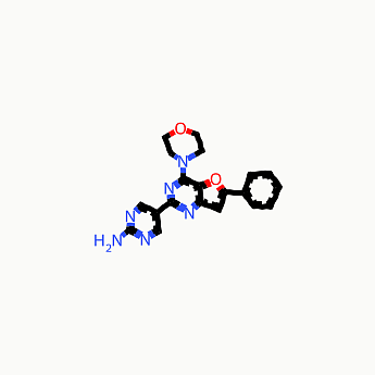 Nc1ncc(-c2nc(N3CCOCC3)c3oc(-c4ccccc4)cc3n2)cn1